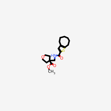 COC(=O)C1(CNC(=O)c2cc3c(s2)CCCCCC3)CCOCC1